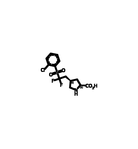 O=C(O)[C@@H]1C[C@H](CC(F)(F)S(=O)(=O)c2ccccc2Cl)CN1